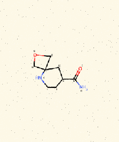 NC(=O)C1CCNC2(COC2)C1